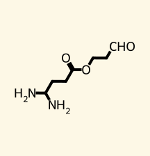 NC(N)CCC(=O)OCCC=O